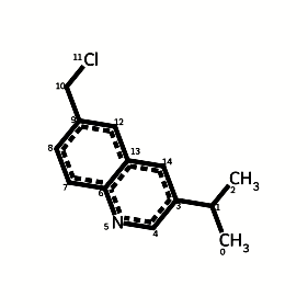 CC(C)c1cnc2ccc(CCl)cc2c1